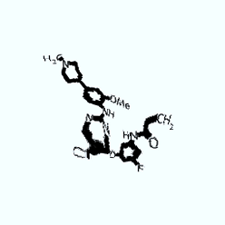 C=CC(=O)Nc1cc(F)cc(Oc2nc(Nc3ccc(C4CCN(C)CC4)cc3OC)ncc2Cl)c1